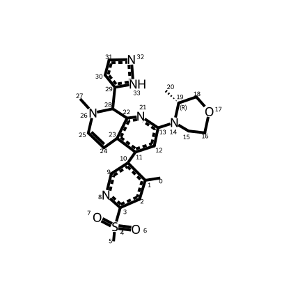 Cc1cc(S(C)(=O)=O)ncc1-c1cc(N2CCOC[C@H]2C)nc2c1C=CN(C)C2c1ccn[nH]1